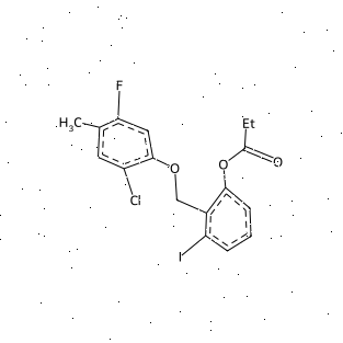 CCC(=O)Oc1cccc(I)c1COc1cc(F)c(C)cc1Cl